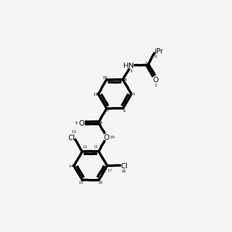 CC(C)C(=O)Nc1ccc(C(=O)Oc2c(Cl)cccc2Cl)cc1